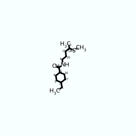 CCC1CCC(C(=O)NCCCC(C)SC)CC1